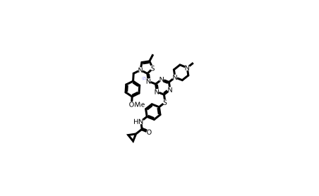 COc1ccc(Cn2cc(C)s/c2=N\c2nc(Sc3ccc(NC(=O)C4CC4)cc3)nc(N3CCN(C)CC3)n2)cc1